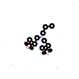 c1ccc(-c2cccc(-c3ccc(N(c4ccc(-c5cccc6c5-c5ccccc5C65c6ccccc6Oc6ccccc65)cc4)c4cccc(-c5cccc6c5-c5ccccc5C65c6ccccc6Oc6ccccc65)c4)cc3)c2)cc1